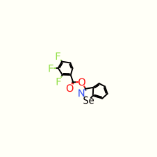 O=C(Oc1n[se]c2ccccc12)c1ccc(F)c(F)c1F